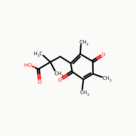 CC1=C(C)C(=O)C(CC(C)(C)C(=O)O)=C(C)C1=O